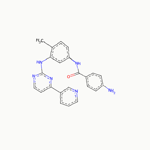 Cc1ccc(NC(=O)c2ccc(N)cc2)cc1Nc1nccc(-c2cccnc2)n1